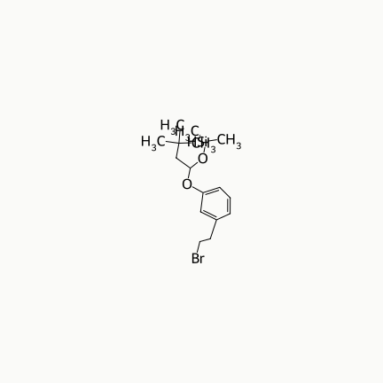 C[SiH](C)OC(CC(C)(C)C)Oc1cccc(CCBr)c1